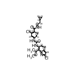 CO[C@@H](C)c1c(NC(=O)Nc2cnc(C(=O)NOCC3CC3)c(Cl)c2)cnc2cc(Cl)nn12